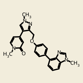 Cn1cc(-c2ccn(C)c(=O)c2)c(COc2ccc(-c3cccc4c3ncn4C)cc2)n1